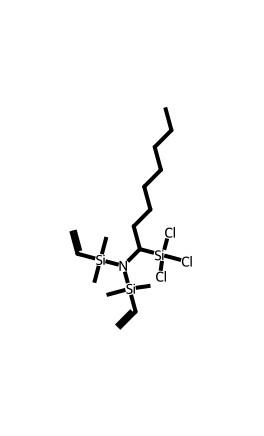 C=C[Si](C)(C)N(C(CCCCCCC)[Si](Cl)(Cl)Cl)[Si](C)(C)C=C